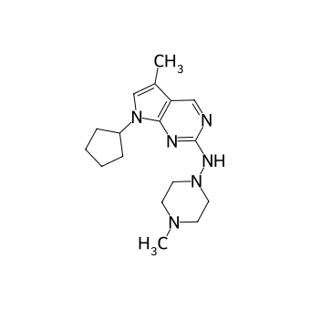 Cc1cn(C2CCCC2)c2nc(NN3CCN(C)CC3)ncc12